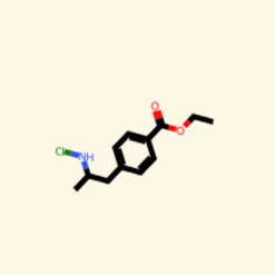 CCOC(=O)c1ccc(CC(C)NCl)cc1